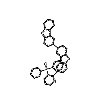 O=P(c1ccccc1)(c1ccccc1)c1cccnc1-c1ccc2sc3ccc(-c4ccc5sc6ccccc6c5c4)cc3c2c1